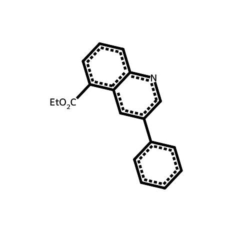 CCOC(=O)c1cccc2ncc(-c3ccccc3)cc12